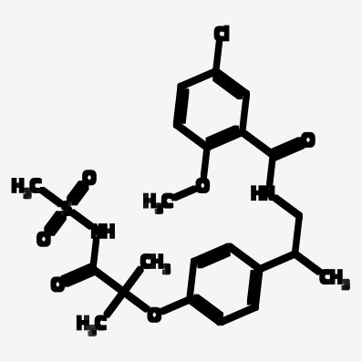 COc1ccc(Cl)cc1C(=O)NCC(C)c1ccc(OC(C)(C)C(=O)NS(C)(=O)=O)cc1